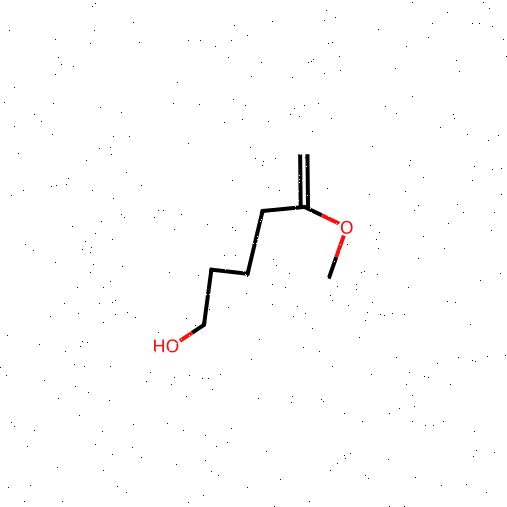 C=C(CCCCO)OC